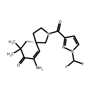 CC1(C)C[C@]2(C=C(N)C1=O)CCN(C(=O)c1ccn(C(F)F)n1)C2